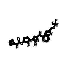 O=C(NC12CC(C1)C2)O[C@H]1CC[C@@H](c2cc(Nc3nccc4nc(COC(F)(F)F)cn34)n[nH]2)[C@H]1F